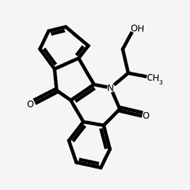 CC(CO)n1c2c(c3ccccc3c1=O)C(=O)c1ccccc1-2